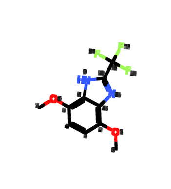 COc1ccc(OC)c2[nH]c(C(F)(F)F)nc12